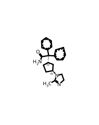 CC1=NCCN1[C@H]1CC[C@H](C(C(N)=O)(c2ccccc2)c2ccccc2)C1